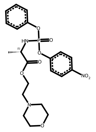 C[C@H](NP(=O)(Oc1ccccc1)Oc1ccc([N+](=O)[O-])cc1)C(=O)OCCN1CCOCC1